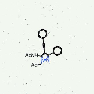 CC(=O)Cn1nc(-c2ccccc2)c(C#Cc2ccccc2)c1NC(C)=O